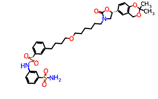 CC1(C)OCc2cc([C@@H]3CN(CCCCCCOCCCCc4cccc(S(=O)(=O)Nc5cccc(S(N)(=O)=O)c5)c4)C(=O)O3)ccc2O1